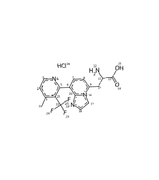 Cc1ccnc(-c2ccc(CC(N)C(=O)O)n3ccnc23)c1C(F)(F)F.Cl